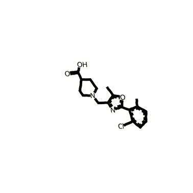 Cc1cccc(Cl)c1-c1nc(CN2CCC(C(=O)O)CC2)c(C)o1